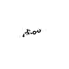 Nc1ccc(-c2ccc(CN3CCC(O)=C(C(=O)NCC(=O)O)C3=O)cc2)cn1